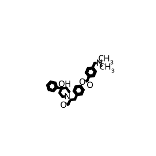 CN(C)Cc1ccc(C(=O)Oc2ccc(CC(C=O)N3CCC(O)(c4ccccc4)CC3)cc2)cc1